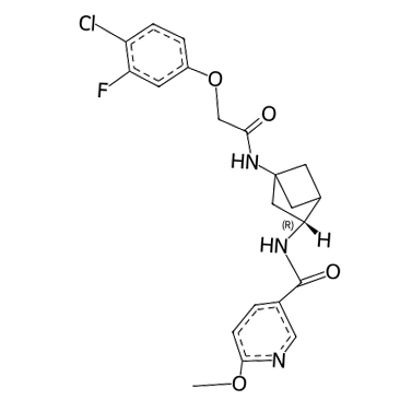 COc1ccc(C(=O)N[C@@H]2CC3(NC(=O)COc4ccc(Cl)c(F)c4)CC2C3)cn1